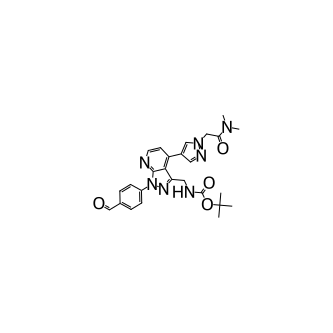 CN(C)C(=O)Cn1cc(-c2ccnc3c2c(CNC(=O)OC(C)(C)C)nn3-c2ccc(C=O)cc2)cn1